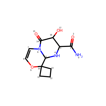 NC(=O)C1NC2N(C=COC23CCC3)C(=O)C1O